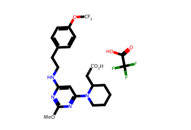 COc1nc(NCCc2ccc(OC(F)(F)F)cc2)cc(N2CCCCC2CC(=O)O)n1.O=C(O)C(F)(F)F